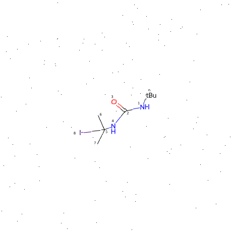 CC(C)(C)NC(=O)NC(C)(C)I